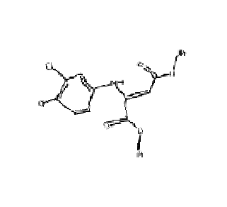 CC(C)OC(=O)/C=C(\Nc1ccc(Cl)c(Cl)c1)C(=O)OC(C)C